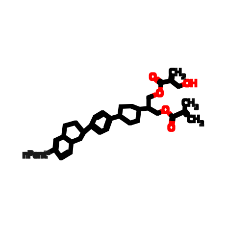 C=C(C)C(=O)OCC(COC(=O)C(=C)CO)C1CCC(c2ccc(C3CCC4C=C(CCCCC)C=CC4C3)cc2)CC1